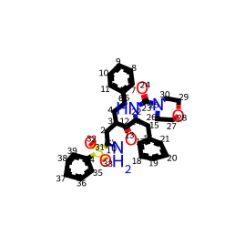 N[C@H](CC(CCc1ccccc1)C(=O)C(Cc1ccccc1)NC(=O)N1CCOCC1)S(=O)(=O)c1ccccc1